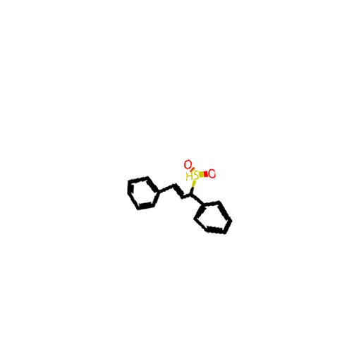 O=[SH](=O)C(/C=C/c1ccccc1)c1ccccc1